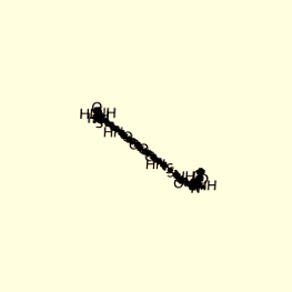 CNc1ncc(CCC(=O)NCCSSCCNCCCOCCOCCOCCOCCNCCCCCC2SC[C@@H]3NC(=O)N[C@H]23)cc1C(=O)OC(C)(C)C